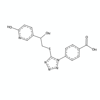 O=C(O)c1ccc(-n2nnnc2SCC(O)c2ccc(O)nc2)cc1